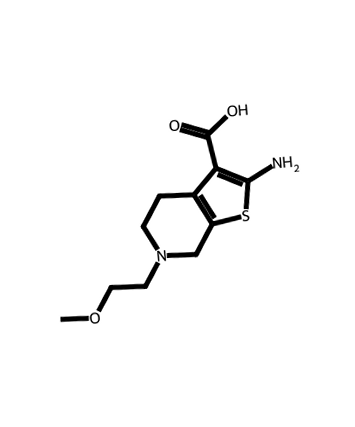 COCCN1CCc2c(sc(N)c2C(=O)O)C1